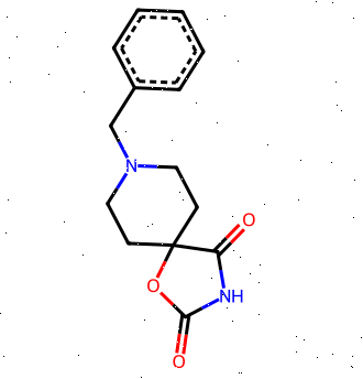 O=C1NC(=O)C2(CCN(Cc3ccccc3)CC2)O1